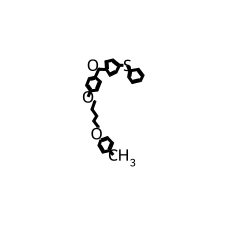 Cc1ccc(OCCCCCOc2ccc(C(=O)c3ccc(Sc4ccccc4)cc3)cc2)cc1